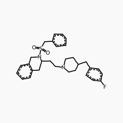 O=S(=O)(Cc1ccccc1)N1Cc2ccccc2CC1CCN1CCC(Cc2ccc(F)cc2)CC1